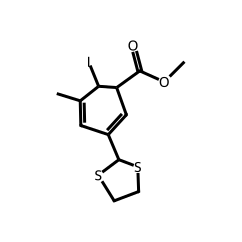 COC(=O)C1C=C(C2SCCS2)C=C(C)C1I